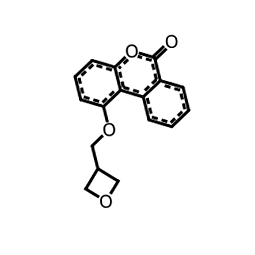 O=c1oc2cccc(OCC3COC3)c2c2ccccc12